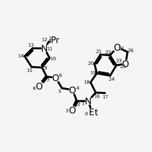 CCN(C(=O)OCOC(=O)C1=CN(C(C)C)C=CC1)C(C)Cc1ccc2c(c1)OCO2